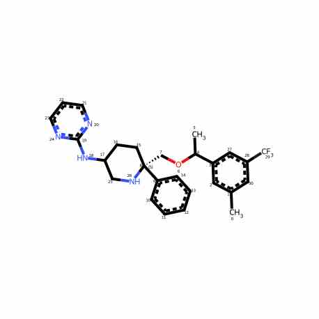 Cc1cc(C(C)OC[C@@]2(c3ccccc3)CCC(Nc3ncccn3)CN2)cc(C(F)(F)F)c1